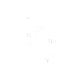 COc1cc2[nH]cc(C(=O)C(=O)N3CCOCC3)c2cc1C(=O)N1CCC(CC2=CCC(F)C=C2)CC1